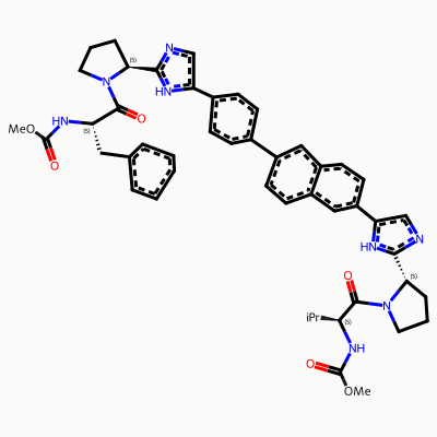 COC(=O)N[C@@H](Cc1ccccc1)C(=O)N1CCC[C@H]1c1ncc(-c2ccc(-c3ccc4cc(-c5cnc([C@@H]6CCCN6C(=O)[C@@H](NC(=O)OC)C(C)C)[nH]5)ccc4c3)cc2)[nH]1